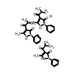 Cc1[nH]n(-c2ccccc2)c(=O)c1C(=O)C(C)C.Cc1[nH]n(-c2ccccc2)c(=O)c1C(=O)C(C)C.Cc1[nH]n(-c2ccccc2)c(=O)c1C(=O)C(C)C.[Er]